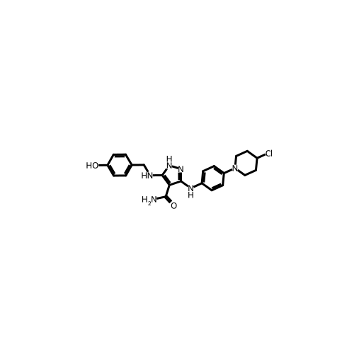 NC(=O)c1c(Nc2ccc(N3CCC(Cl)CC3)cc2)n[nH]c1NCc1ccc(O)cc1